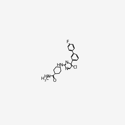 CNC(=O)[C@H]1CC[C@H](Nc2ncc(Cl)c(-c3cccc(-c4ccc(F)cc4)c3)n2)CC1